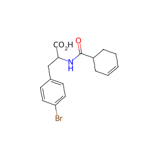 O=C(NC(Cc1ccc(Br)cc1)C(=O)O)C1CC=CCC1